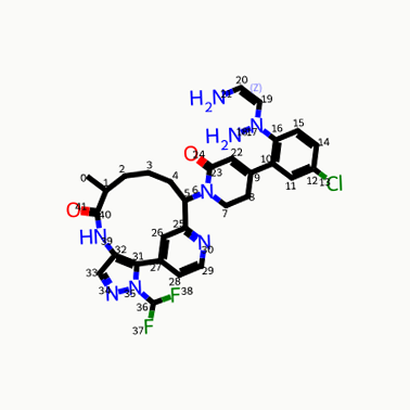 CC1CCCC(N2CCC(c3cc(Cl)ccc3N(N)/C=C\N)=CC2=O)c2cc(ccn2)-c2c(cnn2C(F)F)NC1=O